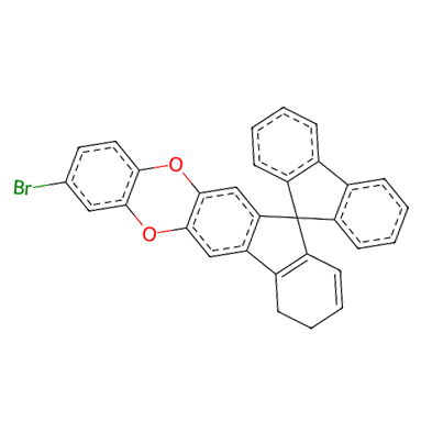 Brc1ccc2c(c1)Oc1cc3c(cc1O2)C1(C2=C3CCC=C2)c2ccccc2-c2ccccc21